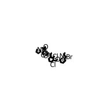 CC(=O)N(CC(=O)N(C)c1ccc(Cl)c(COc2cccn3c(Br)c(C)nc23)c1Cl)C(=O)[C@H]1CCCN1